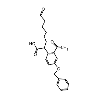 CC(=O)c1cc(OCc2ccccc2)ccc1C(CCCCCC=O)C(=O)O